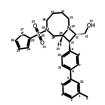 Cc1cccc(-c2ccc([C@@H]3[C@@H](CO)N4CCCCN(S(=O)(=O)c5cccs5)C[C@@H]34)cc2)c1